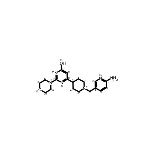 Nc1ccc(CN2CCC(c3cc(O)nc(N4CCOCC4)n3)CC2)cn1